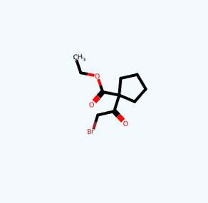 CCOC(=O)C1(C(=O)CBr)CCCC1